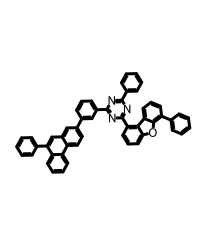 c1ccc(-c2nc(-c3cccc(-c4ccc5c(c4)cc(-c4ccccc4)c4ccccc45)c3)nc(-c3cccc4oc5c(-c6ccccc6)cccc5c34)n2)cc1